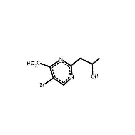 CC(O)Cc1ncc(Br)c(C(=O)O)n1